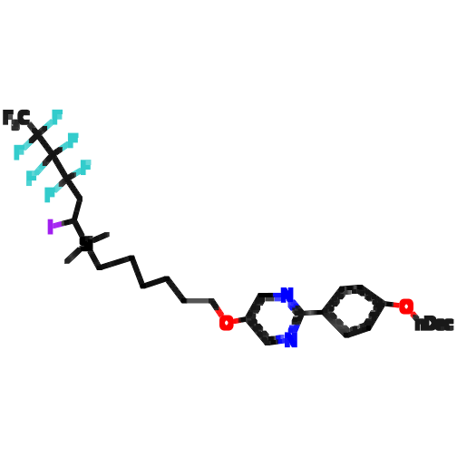 CCCCCCCCCCOc1ccc(-c2ncc(OCCCCCC[Si](C)(C)C(I)CC(F)(F)C(F)(F)C(F)(F)C(F)(F)F)cn2)cc1